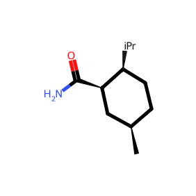 CC(C)[C@H]1CC[C@@H](C)C[C@H]1C(N)=O